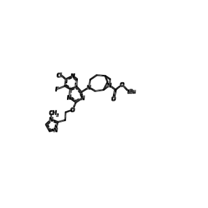 Cn1ccnc1CCOc1nc(N2CCC3CC(C2)N(C(=O)OC(C)(C)C)C3)c2cnc(Cl)c(F)c2n1